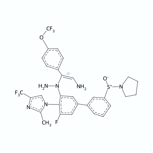 Cc1nc(C(F)(F)F)cn1-c1c(F)cc(-c2cccc([S+]([O-])N3CCCC3)c2)cc1N(N)/C(=C\N)c1ccc(OC(F)(F)F)cc1